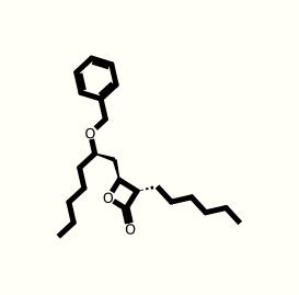 CCCCCC[C@@H]1C(=O)O[C@H]1C[C@@H](CCCCC)OCc1ccccc1